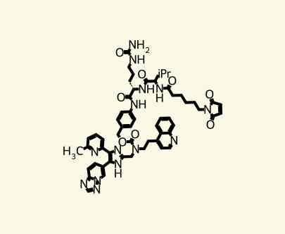 Cc1cccc(-c2nc(CN(CCc3ccnc4ccccc34)C(=O)OCc3ccc(NC(=O)[C@H](CCCNC(N)=O)NC(=O)C(NC(=O)CCCCCN4C(=O)C=CC4=O)C(C)C)cc3)[nH]c2-c2ccc3ncnn3c2)n1